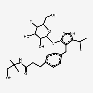 CC(C)c1[nH]nc(OC2OC(CO)C(F)C(O)C2O)c1Cc1ccc(CCC(=O)NC(C)(C)CO)cc1